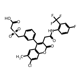 Cc1cc2c(-c3cccc(CS(=O)(=O)CC(=O)O)c3)c(CC(=O)Nc3ccc(F)cc3C(F)(F)F)c(=O)oc2cc1Cl